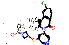 C[S+]([O-])N1CC(Oc2cncc(N3C(=O)c4ccc(Cl)cc4C3(C)C)c2)C1